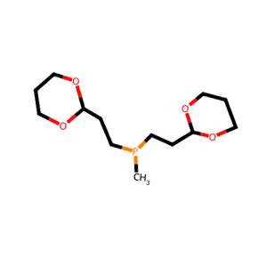 CP(CCC1OCCCO1)CCC1OCCCO1